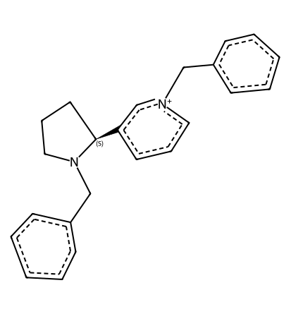 c1ccc(CN2CCC[C@H]2c2ccc[n+](Cc3ccccc3)c2)cc1